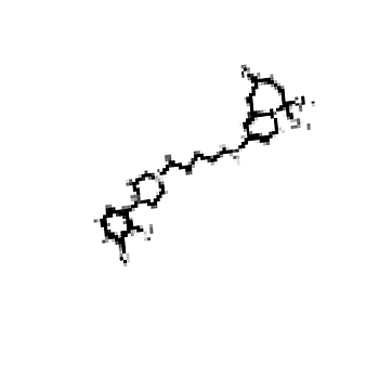 CC1(C)CCC(=O)CC2=CC(OCCCCCN3CCN(c4cccc(Cl)c4Cl)CC3)=CCN21